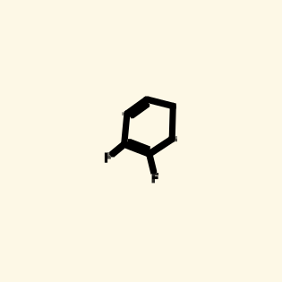 FC1=C(F)[C]=CC[C]1